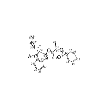 CC(=O)O[C@@H](CN=[N+]=[N-])[C@@H](OC1COC(c2ccccc2)O[C@@H]1C)Sc1ccccc1